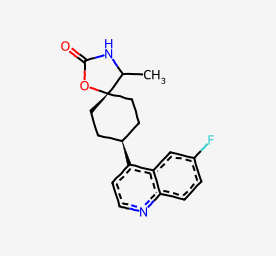 CC1NC(=O)O[C@]12CC[C@H](c1ccnc3ccc(F)cc31)CC2